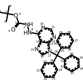 CC(C)(C)OC(=O)NNc1ncnc2c1ncn2C(c1ccccc1)(c1ccccc1)c1ccccc1